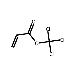 C=CC(=O)OC(Cl)(Cl)Cl